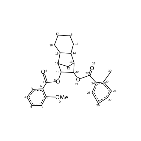 COc1ccccc1C(=O)OC1C2CC(C3CCCCC32)C1OC(=O)c1ccccc1C